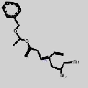 C=C/C(=C\CC(=C)OC(C)OCc1ccccc1)CC(CC(C)(C)C)C(C)(C)C